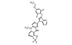 CCOc1cc(F)c(Cn2nc(-c3ncc(OC)c(Nc4ccncc4OCC(F)(F)F)n3)c3ccccc32)c(F)c1